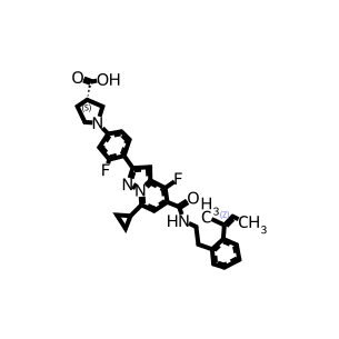 C/C=C(/C)c1ccccc1CCNC(=O)c1cc(C2CC2)n2nc(-c3ccc(N4CC[C@H](C(=O)O)C4)cc3F)cc2c1F